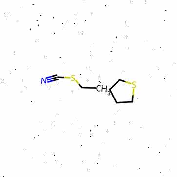 C1CCSC1.CCSC#N